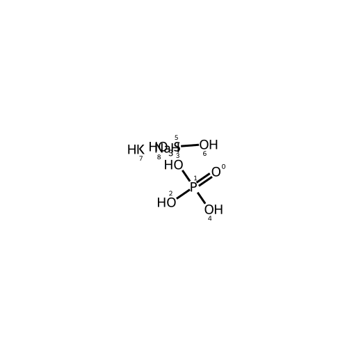 O=P(O)(O)O.O=S(=O)(O)O.[KH].[NaH]